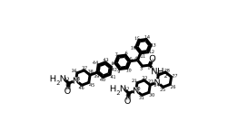 NC(=O)CC(c1ccccc1)c1ccccc1.NC(=O)N1CCC(N2CCCCC2)CC1.NC(=O)N1CCC(c2ccccc2)CC1